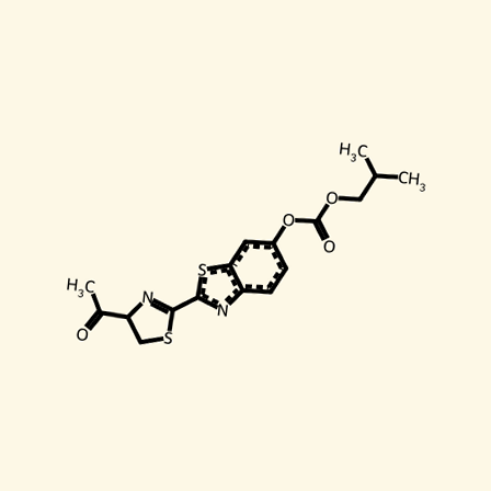 CC(=O)C1CSC(c2nc3ccc(OC(=O)OCC(C)C)cc3s2)=N1